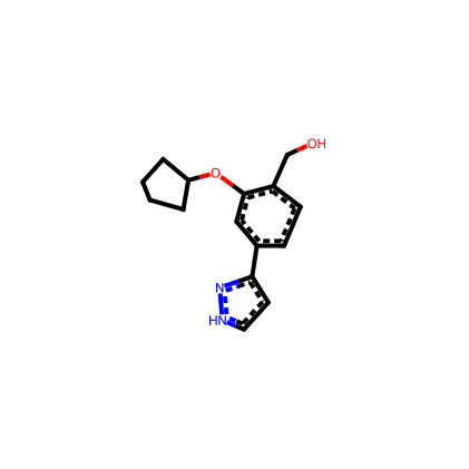 OCc1ccc(-c2cc[nH]n2)cc1OC1CCCC1